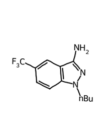 [CH2]CCCn1nc(N)c2cc(C(F)(F)F)ccc21